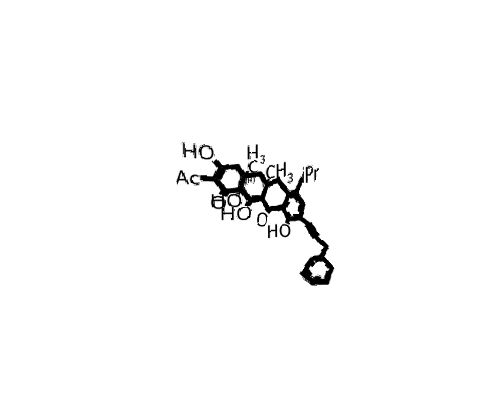 CC(=O)C1=C(O)C[C@@]2(C)C[C@@]3(C)Cc4c(C(C)C)cc(C#CCc5ccccc5)c(O)c4C(=O)C3=C(O)[C@@]2(O)C1=O